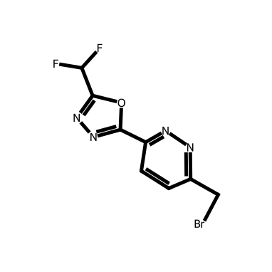 FC(F)c1nnc(-c2ccc(CBr)nn2)o1